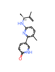 C=C(C)[C@H](C)Nc1ccc(C)c(-c2ccc(=O)[nH]c2)n1